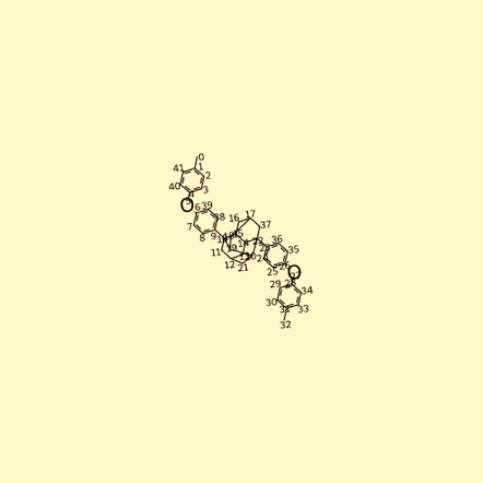 Cc1ccc(Oc2ccc(C34CC5CC6C3CC3CC4C(C5)C6(c4ccc(Oc5ccc(C)cc5)cc4)C3)cc2)cc1